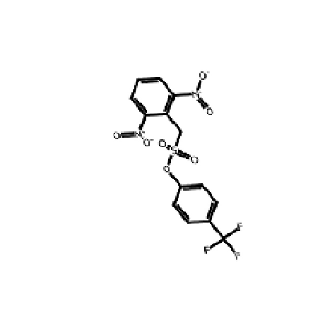 O=[N+]([O-])c1cccc([N+](=O)[O-])c1CS(=O)(=O)Oc1ccc(C(F)(F)F)cc1